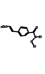 CCCCCCCCC=Cc1ccc(C(=O)N(CC)OCC)cc1